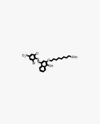 CCCCCCCCCCCCCCCCCCOc1cc(N=Nc2c(Cl)cc([N+](=O)[O-])cc2Br)c2ccccc2c1O